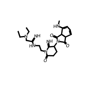 CCN(CC)CC(=N)NCCN1C(=N)C(N2C(=O)C3C=CC=C(NC)C3C2=O)CCC1=O